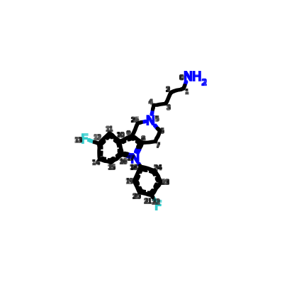 NCCCCN1CCc2c(c3cc(F)ccc3n2-c2ccc(F)cc2)C1